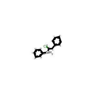 ClC(Cc1ccccc1)[SiH2]c1ccccc1